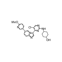 COc1ccc(-c2ccc3ncc(-c4nc(NC5CCC(O)CC5)ncc4Cl)n3c2)cn1